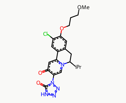 COCCCOc1cc2c(cc1Cl)-c1cc(=O)c(-n3nn[nH]c3=O)cn1C(C(C)C)C2